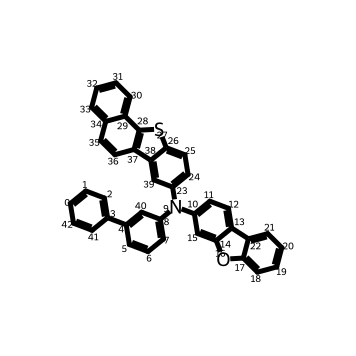 c1ccc(-c2cccc(N(c3ccc4c(c3)oc3ccccc34)c3ccc4sc5c6ccccc6ccc5c4c3)c2)cc1